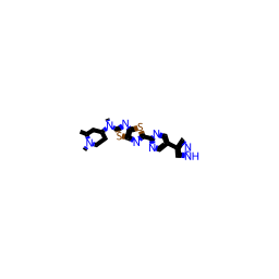 CC1CC(N(C)c2nc3sc(-c4ncc(-c5cn[nH]c5)cn4)nc3s2)CCN1C